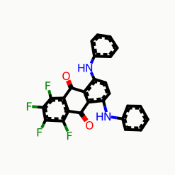 O=C1c2c(Nc3ccccc3)ccc(Nc3ccccc3)c2C(=O)c2c(F)c(F)c(F)c(F)c21